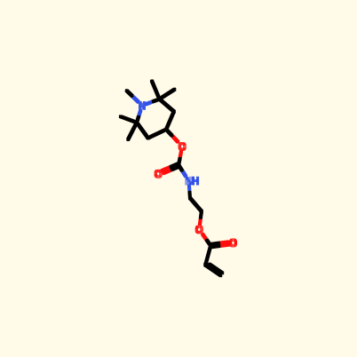 C=CC(=O)OCCNC(=O)OC1CC(C)(C)N(C)C(C)(C)C1